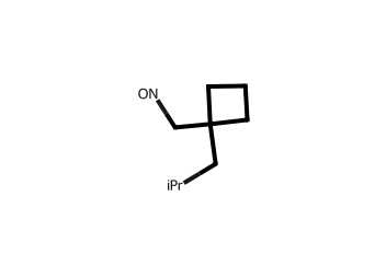 CC(C)CC1(CN=O)CCC1